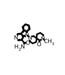 CN1CCCC2(CCCN(n3c4ccccc4c4cncc(C(N)=O)c43)C2)C1=O